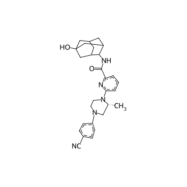 C[C@@H]1CN(c2ccc(C#N)cc2)CCN1c1cccc(C(=O)NC2C3CC4CC2CC(O)(C4)C3)n1